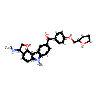 CCn1c2ccc(C(=O)c3ccc(OCC4CCCO4)cc3)cc2c2c3c(ccc21)/C(=N/OC(C)=O)CO3